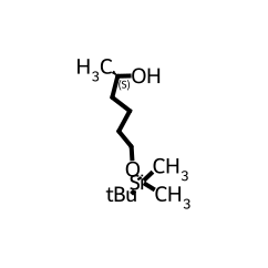 C[C@H](O)CCCCO[Si](C)(C)C(C)(C)C